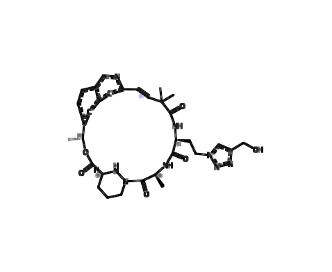 C[C@@H]1NC(=O)[C@H](CCn2cc(CO)nn2)NC(=O)C(C)(C)/C=C/c2cc3cc(ccc3cn2)[C@@H](C)OC(=O)[C@@H]2CCCN(N2)C1=O